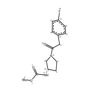 CC(C)(C)OC(=O)N[C@H]1CCN(C(=O)Cc2ccc(F)cc2)C1